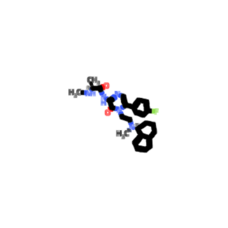 CN[C@@H](C)C(=O)Nc1ncc(-c2ccc(F)cc2)n(CCN(C)[C@@H]2CCCc3ccccc32)c1=O